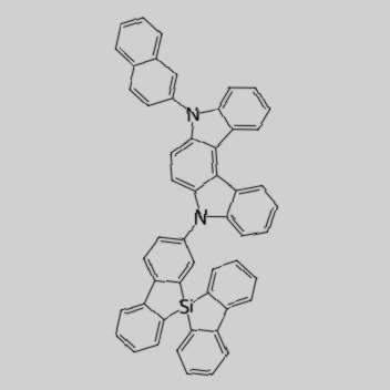 c1ccc2c(c1)-c1ccccc1[Si]21c2ccccc2-c2ccc(-n3c4ccccc4c4c5c6ccccc6n(-c6ccc7ccccc7c6)c5ccc43)cc21